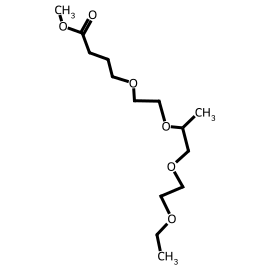 CCOCCOCC(C)OCCOCCCC(=O)OC